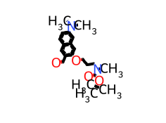 CN(CCCOc1cc2cc(N(C)C)ccc2cc1C=O)C(=O)OC(C)(C)C